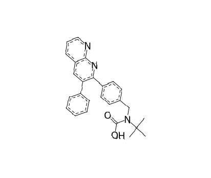 CC(C)(C)N(Cc1ccc(-c2nc3ncccc3cc2-c2ccccc2)cc1)C(=O)O